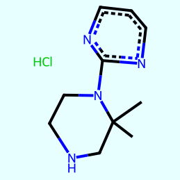 CC1(C)CNCCN1c1ncccn1.Cl